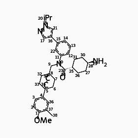 COc1ccc(C23CCC(CN(c4cccc(-c5cnn(C(C)C)c5)c4)C(=O)[C@H]4CC[C@H](N)CC4)(CC2)CC3)cc1C